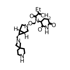 C=C(CC)C(=O)N(CON1C[C@@H]2[C@@H](CN3CC4(CCNCC4)C3)[C@@H]2C1)C1CCC(=O)NC1=O